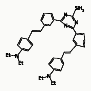 CCN(CC)c1ccc(C=Cc2cccc(-c3nc([SiH3])nc(-c4cccc(C=Cc5ccc(N(CC)CC)cc5)c4)n3)c2)cc1